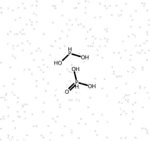 O=[PH](O)O.OPO